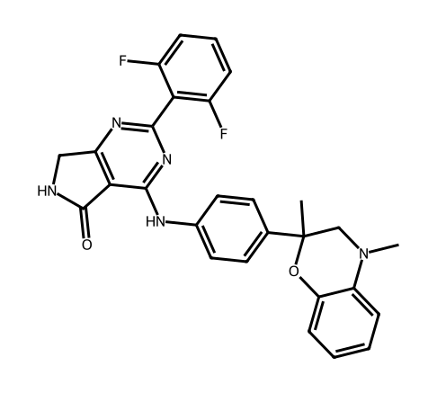 CN1CC(C)(c2ccc(Nc3nc(-c4c(F)cccc4F)nc4c3C(=O)NC4)cc2)Oc2ccccc21